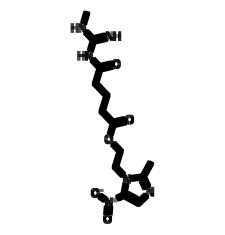 CNC(=N)NC(=O)CCCC(=O)OCCn1c([N+](=O)[O-])cnc1C